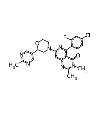 Cc1ncc(C2CN(c3cc4nc(C)n(C)c(=O)c4c(-c4ccc(Cl)cc4F)n3)CCO2)cn1